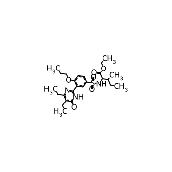 CCCOc1ccc(S(=O)(=O)NC(C(=O)OCC)C(C)CC)cc1-c1nc(CC)c(CC)c(=O)[nH]1